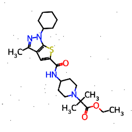 CCOC(=O)C(C)(C)N1CCC(NC(=O)c2cc3c(C)nn(C4CCCCC4)c3s2)CC1